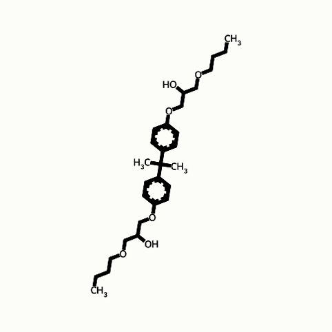 CCCCOCC(O)COc1ccc(C(C)(C)c2ccc(OCC(O)COCCCC)cc2)cc1